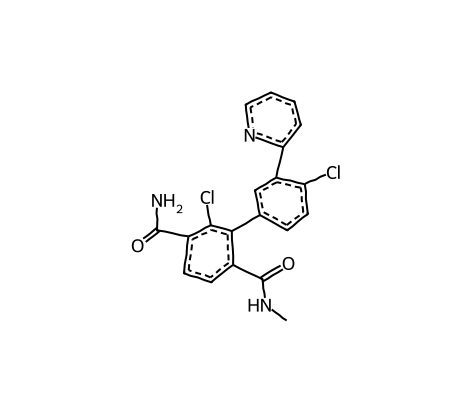 CNC(=O)c1ccc(C(N)=O)c(Cl)c1-c1ccc(Cl)c(-c2ccccn2)c1